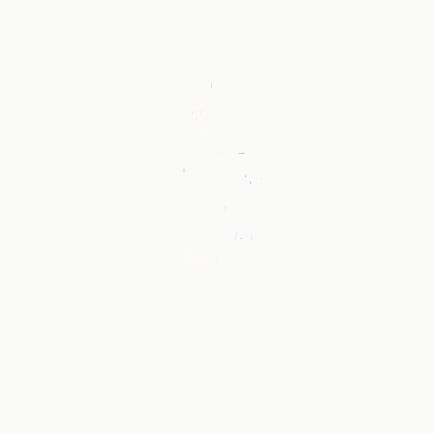 CCCC(=O)Nc1ccc(OC)cn1